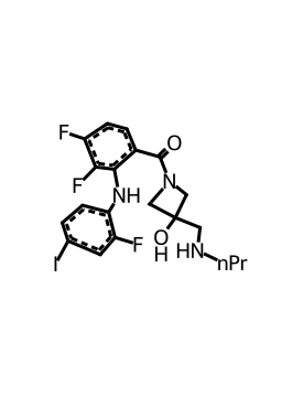 CCCNCC1(O)CN(C(=O)c2ccc(F)c(F)c2Nc2ccc(I)cc2F)C1